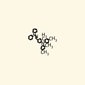 Cc1ccc(N(c2ccc(/C=N/N(c3ccccc3)c3ccccc3)cc2)c2ccc(C)cc2C)c(C)c1